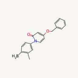 Bc1ccc(-n2ccc(OCc3ccccc3)cc2=O)cc1C